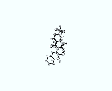 COC(=O)C(CC1CCCCC1)n1c(=S)[nH]c2cc(S(C)(=O)=O)ccc2c1=O